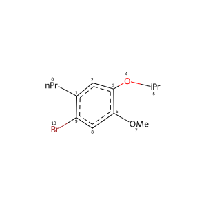 CCCc1cc(OC(C)C)c(OC)cc1Br